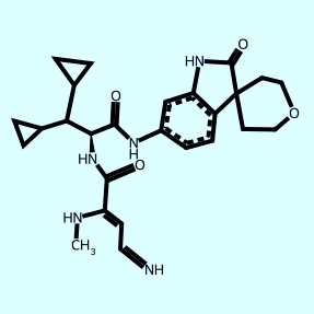 CN/C(=C\C=N)C(=O)N[C@H](C(=O)Nc1ccc2c(c1)NC(=O)C21CCOCC1)C(C1CC1)C1CC1